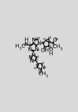 CNc1nc(-n2cc(-c3cnn(C)c3)nn2)nc2c1ncn2[C@@H]1C2C[C@]2(C(C)=O)C(O)[C@H]1O